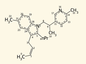 C/C=C\Cc1c(CCC)n(CC(C)c2ccc(C)nc2)c2ccc(C)cc12